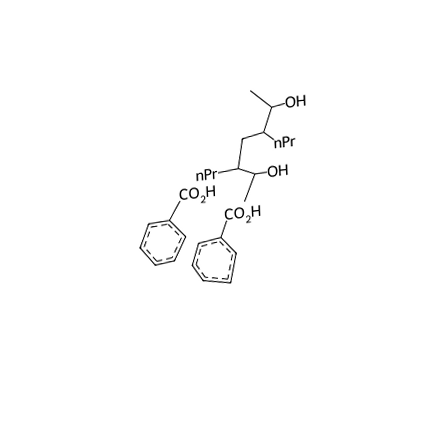 CCCC(CC(CCC)C(C)O)C(C)O.O=C(O)c1ccccc1.O=C(O)c1ccccc1